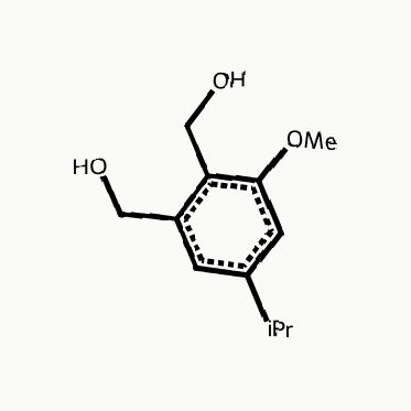 COc1cc(C(C)C)cc(CO)c1CO